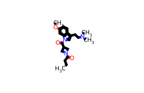 CCCC(=O)N1CC(C(=O)n2cc(CCN(C)C)c3ccc(OC)cc32)C1